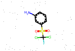 Nc1cccc(S(=O)(=O)C(F)(Cl)Cl)c1